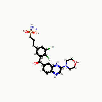 NS(=O)(=O)CCCc1cc(F)c(F)c(C(=O)c2ccc3ncc(N4CCOCC4)nc3c2)c1